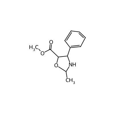 COC(=O)C1OC(C)NC1c1ccccc1